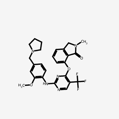 COc1cc(CN2CCCC2)ccc1Nc1ncc(C(F)(F)F)c(Oc2cccc3c2C(=O)N(C)C3)n1